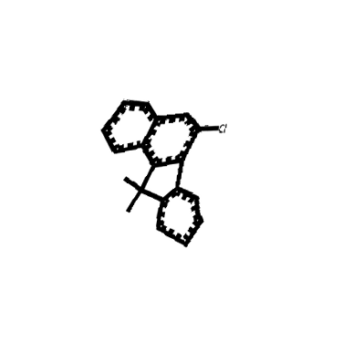 CC1(C)c2ccccc2-c2c(Cl)cc3ccccc3c21